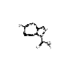 NC(=O)n1n[c]c2cc(Br)ccc21